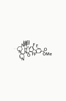 COC(=O)c1cc(F)c(-c2c(F)ccc(C(=O)Nc3cnccc3N3C[C@H](C)C[C@H](N)C3)c2F)c(F)c1.Cl.Cl